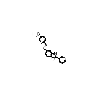 Bc1ccc(COc2ccc3oc(-c4cccnc4)nc3c2)nc1